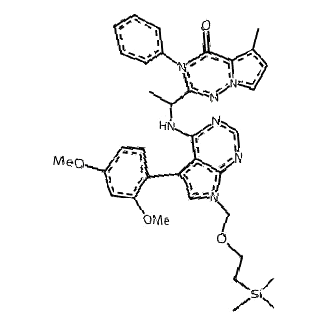 COc1ccc(-c2cn(COCC[Si](C)(C)C)c3ncnc(NC(C)c4nn5ccc(C)c5c(=O)n4-c4ccccc4)c23)c(OC)c1